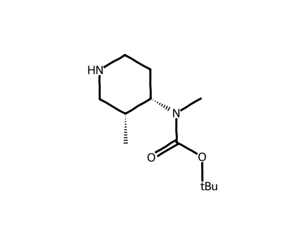 C[C@@H]1CNCC[C@@H]1N(C)C(=O)OC(C)(C)C